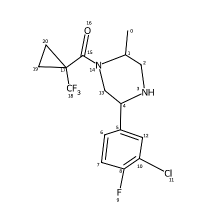 CC1CNC(c2ccc(F)c(Cl)c2)CN1C(=O)C1(C(F)(F)F)CC1